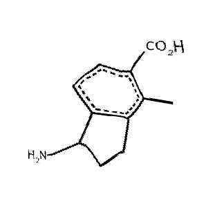 Cc1c(C(=O)O)ccc2c1CCC2N